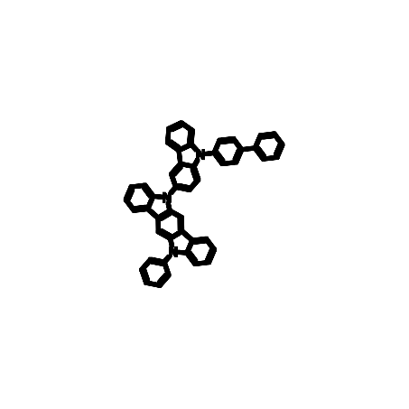 c1ccc(-c2ccc(-n3c4ccccc4c4cc(-n5c6ccccc6c6cc7c(cc65)c5ccccc5n7-c5ccccc5)ccc43)cc2)cc1